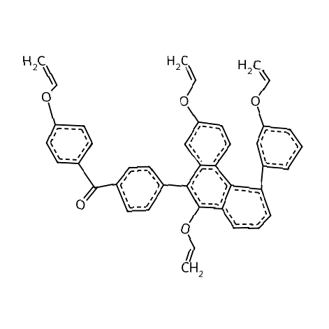 C=COc1ccc(C(=O)c2ccc(-c3c(OC=C)c4cccc(-c5cccc(OC=C)c5)c4c4ccc(OC=C)cc34)cc2)cc1